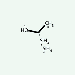 CCO.[SiH4].[SiH4]